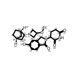 CCOC1CN([C@H]2[C@H]3CC[C@H](C3)[C@H]2Oc2ccc3c(c2)CN(C2CCC(=O)NC2=O)C3=O)C1